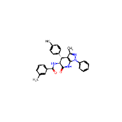 Cc1cccc(C(=O)N[C@@H]2C(=O)Nc3c(c(C)nn3-c3ccccc3)[C@H]2c2ccc(C#N)cc2)c1